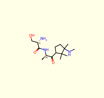 CNC1(C)CCC(C(=O)[C@@H](C)NC(=O)[C@@H](N)CO)C1(C)C